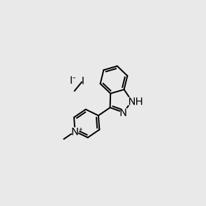 CI.C[n+]1ccc(-c2n[nH]c3ccccc23)cc1.[I-]